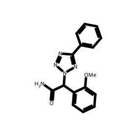 COc1ccccc1C(C(N)=O)n1nnc(-c2ccccc2)n1